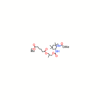 CCC(C)COC(=O)CCCCC(=O)OCC(C)COC(=O)NC1CC(C)(C)CC(C)(CNC(=O)OC)C1